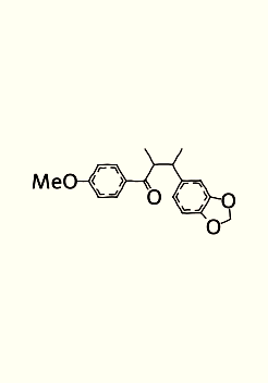 COc1ccc(C(=O)C(C)C(C)c2ccc3c(c2)OCO3)cc1